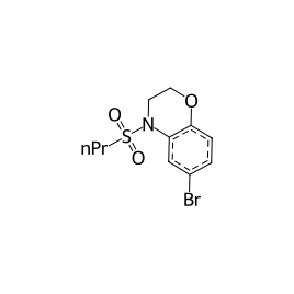 CCCS(=O)(=O)N1CCOc2ccc(Br)cc21